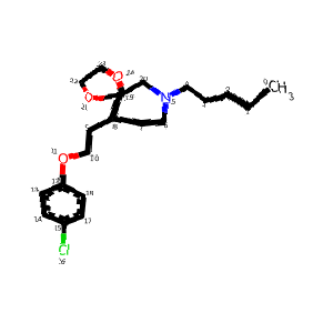 CCCCCN1CCC(CCOc2ccc(Cl)cc2)C2(C1)OCCO2